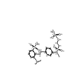 CN(C)c1cccc(S(=O)(=O)O)c1/N=N/c1ccc(N(C)S(=O)(=O)CCOS(=O)(=O)O)cc1